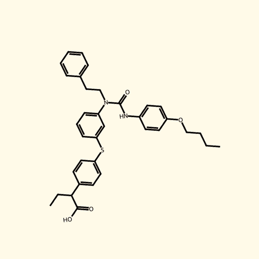 CCCCOc1ccc(NC(=O)N(CCc2ccccc2)c2cccc(Sc3ccc(C(CC)C(=O)O)cc3)c2)cc1